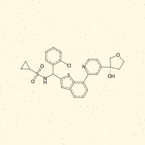 O=S(=O)(NC(c1cc2cccc(-c3cc([C@]4(O)CCOC4)ccn3)c2s1)c1ccccc1Cl)C1CC1